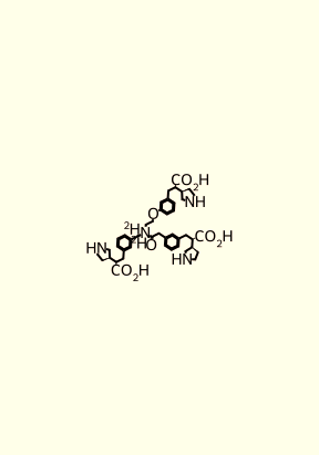 [2H]C([2H])(c1cccc(C[C@H](C(=O)O)[C@H]2CCNC2)c1)N(CCOc1cccc(C[C@H](C(=O)O)[C@H]2CCNC2)c1)C(=O)Cc1cccc(C[C@H](C(=O)O)[C@H]2CCNC2)c1